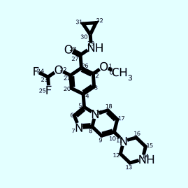 COc1cc(-c2cnc3cc(N4CCNCC4)ccn23)cc(OC(F)F)c1C(=O)NC1CC1